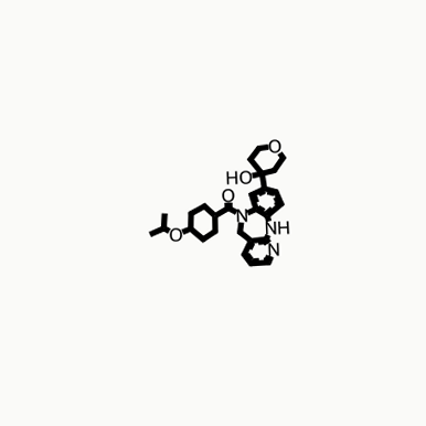 CC(C)OC1CCC(C(=O)N2Cc3cccnc3Nc3ccc(C4(O)CCOCC4)cc32)CC1